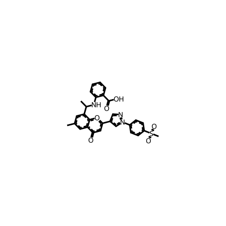 Cc1cc(C(C)Nc2ccccc2C(=O)O)c2oc(-c3cnn(-c4ccc(S(C)(=O)=O)cc4)c3)cc(=O)c2c1